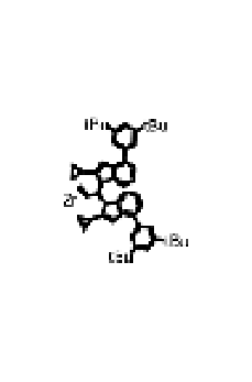 C=CC(C1C(C2CC2)=Cc2c(-c3cc(C(C)(C)C)cc(C(C)(C)C)c3)cccc21)C1C(C2CC2)=Cc2c(-c3cc(C(C)(C)C)cc(C(C)(C)C)c3)cccc21.[Zr]